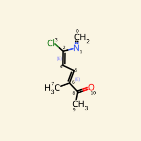 C=N/C(Cl)=C\C=C(/C)C(C)=O